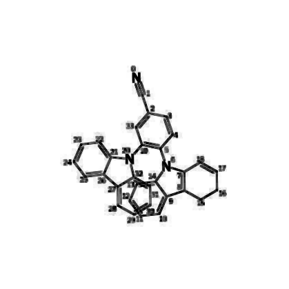 N#Cc1ccc(-n2c3c(c4ccccc42)CCC=C3)c(-n2c3ccccc3c3ccccc32)c1